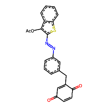 CC(=O)Oc1c(N=Nc2cccc(CC3=CC(=O)C=CC3=O)c2)sc2ccccc12